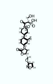 O=C([C@H](CO)P(=O)(O)O)N1CC=C(c2ccc(N3C[C@H](COc4ccon4)OC3=O)cc2F)CC1